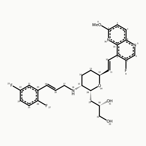 COc1ccc2ncc(F)c(C=C[C@@H]3CC[C@@H](NC/C=C/c4cc(F)ccc4F)[C@@H](C[C@H](O)CO)O3)c2n1